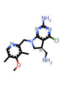 COc1c(C)cnc(CN2C[C@H](CN)c3c(Cl)nc(N)nc32)c1C